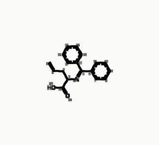 C=CCC(N=C(c1ccccc1)c1ccccc1)C(=O)O